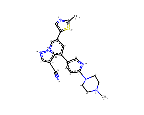 Cc1ncc(-c2cc(-c3ccc(N4CCN(C)CC4)nc3)c3c(C#N)cnn3c2)s1